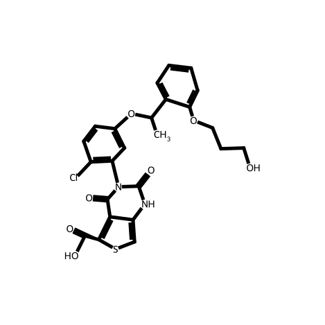 CC(Oc1ccc(Cl)c(-n2c(=O)[nH]c3csc(C(=O)O)c3c2=O)c1)c1ccccc1OCCCO